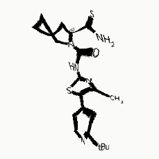 Cc1nc(NC(=O)N2CC3(CC3)C[C@H]2C(N)=S)sc1-c1ccnc(C(C)(C)C)c1